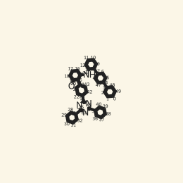 c1ccc(-c2ccc(-c3ccccc3Nc3cccc4oc5cc(-c6nc(-c7ccccc7)nc(-c7ccccc7)n6)ccc5c34)cc2)cc1